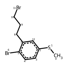 CSc1ccc(Br)c(CCCBr)c1